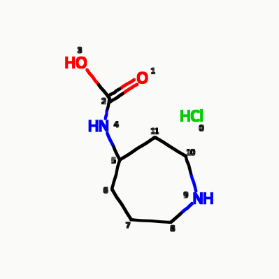 Cl.O=C(O)NC1CCCNCC1